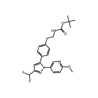 COc1ccc(-n2nc(C(F)F)cc2-c2ccc(CCNC(=O)OC(C)(C)C)cc2)cn1